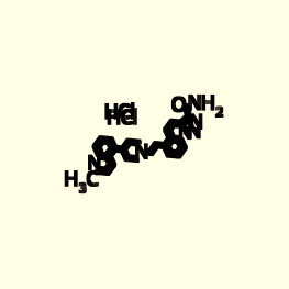 Cc1ccc2c(C3CCN(CCc4cccc5c4ccc4c(C(N)=O)nnn45)CC3)cccc2n1.Cl.Cl